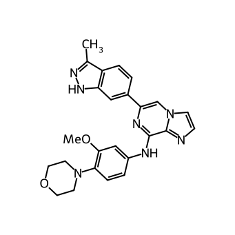 COc1cc(Nc2nc(-c3ccc4c(C)n[nH]c4c3)cn3ccnc23)ccc1N1CCOCC1